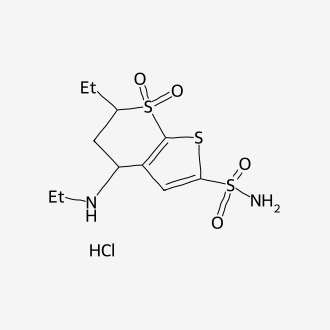 CCNC1CC(CC)S(=O)(=O)c2sc(S(N)(=O)=O)cc21.Cl